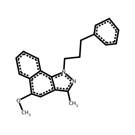 COc1cc2c(C)nn(CCCc3ccccc3)c2c2ccccc12